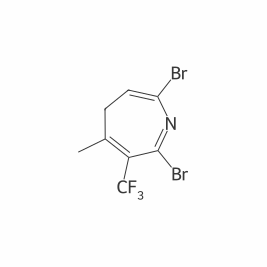 CC1=C(C(F)(F)F)C(Br)=NC(Br)=CC1